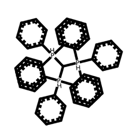 c1ccc([PH](c2ccccc2)(c2ccccc2)C([PH](c2ccccc2)(c2ccccc2)c2ccccc2)[PH](c2ccccc2)(c2ccccc2)c2ccccc2)cc1